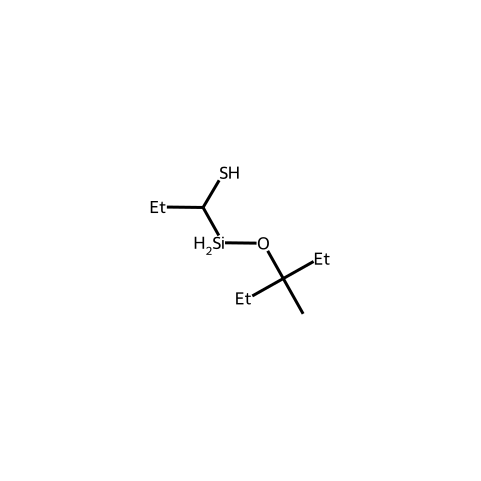 CCC(S)[SiH2]OC(C)(CC)CC